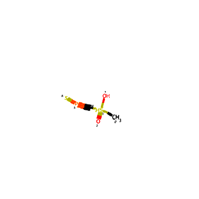 C[SH](=O)(O)C#P=S